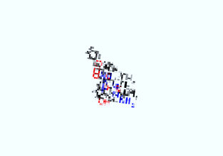 CC(C)C[C@H](NC(=O)[C@@H]1CCCN1C(=O)[C@H](C)N)C(=O)N[C@@H](Cc1ccc(O)cc1)C(=O)N[C@H](C(=O)OCc1ccccc1)C(C)C